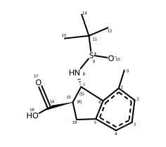 Cc1cccc2c1[C@@H](N[S+]([O-])C(C)(C)C)[C@H](C(=O)O)C2